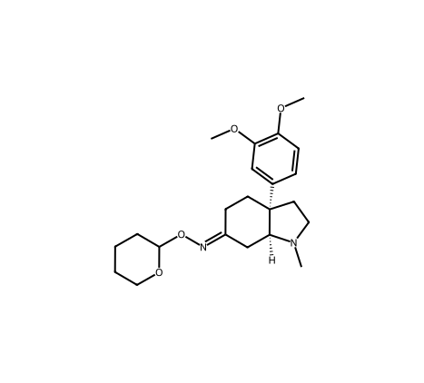 COc1ccc([C@@]23CCC(=NOC4CCCCO4)C[C@@H]2N(C)CC3)cc1OC